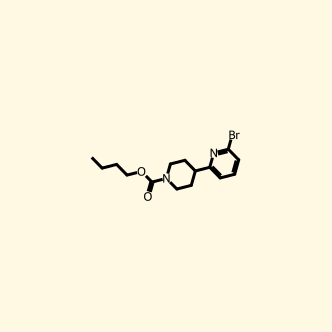 CCCCOC(=O)N1CCC(c2cccc(Br)n2)CC1